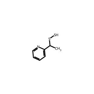 CC(SS)c1ccccn1